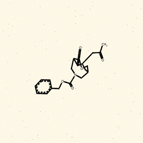 CC(=O)CC1CC2COCC(CN(C(=O)OCc3ccccc3)C2)C1=O